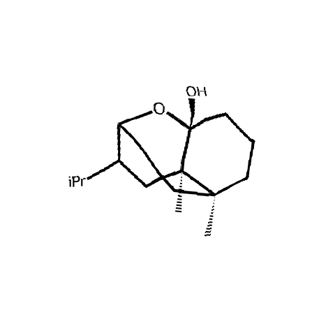 CC(C)C1C[C@]2(C)[C@@]3(C)CCC[C@@]2(O)OC1C3